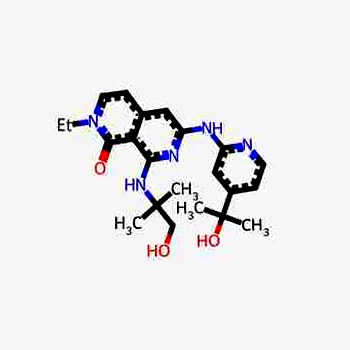 CCn1ccc2cc(Nc3cc(C(C)(C)O)ccn3)nc(NC(C)(C)CO)c2c1=O